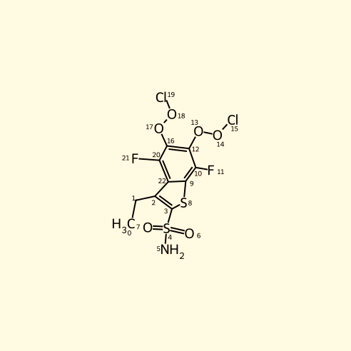 CCc1c(S(N)(=O)=O)sc2c(F)c(OOCl)c(OOCl)c(F)c12